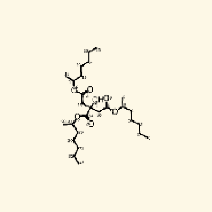 CCCCCC(C)OC(=O)CC(O)(CC(=O)OC(C)CCCCC)C(=O)OC(C)CCCCC